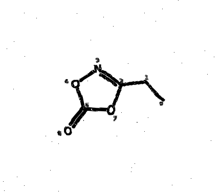 CCc1noc(=O)o1